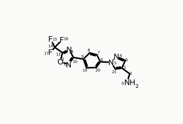 NCc1cnn(-c2ccc(-c3noc(C(F)(F)F)n3)cc2)c1